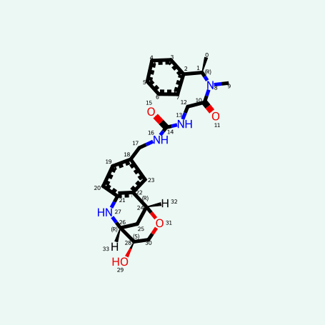 C[C@H](c1ccccc1)N(C)C(=O)CNC(=O)NCc1ccc2c(c1)[C@H]1C[C@@H](N2)[C@H](O)CO1